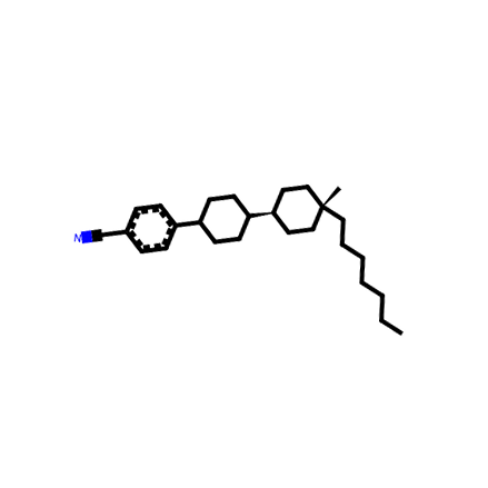 CCCCCCC[C@]1(C)CC[C@@H](C2CCC(c3ccc(C#N)cc3)CC2)CC1